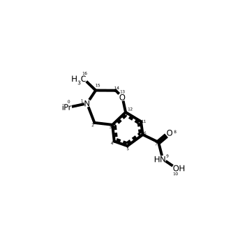 CC(C)N1Cc2ccc(C(=O)NO)cc2OCC1C